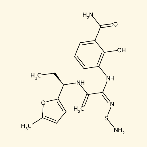 C=C(N[C@H](CC)c1ccc(C)o1)/C(=N\SN)Nc1cccc(C(N)=O)c1O